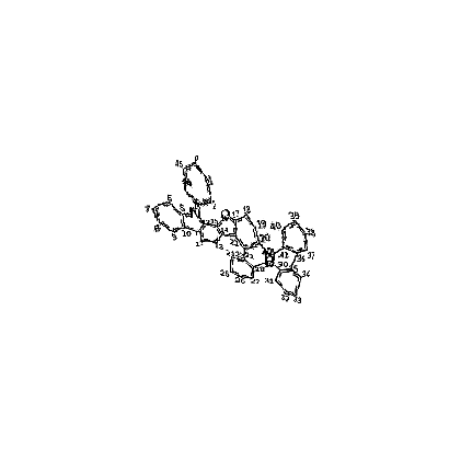 c1ccc(-n2c3ccccc3c3ccc4c(oc5ccc6c(c54)-c4ccccc4B4c5ccccc5-c5ccccc5N46)c32)cc1